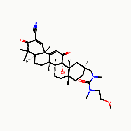 COCCN(C)C(=O)N(C)C[C@@]1(C)CC[C@]2(C)CC[C@@]3(C)[C@]4(C)CC[C@H]5C(C)(C)C(=O)C(C#N)=C[C@]5(C)C4=CC(=O)[C@]3(O)[C@@H]2C1